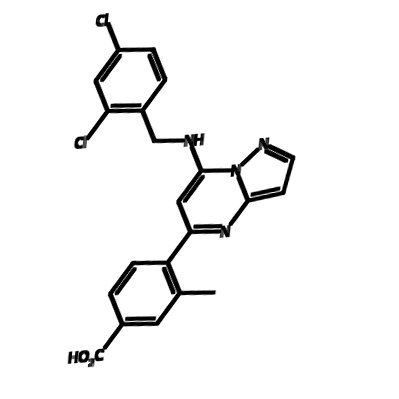 Cc1cc(C(=O)O)ccc1-c1cc(NCc2ccc(Cl)cc2Cl)n2nccc2n1